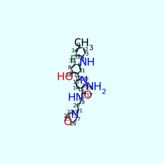 Cc1ccc(Nc2ccc(O)c(-c3ccc(C(=O)NCCCN4CCOCC4)c(N)n3)c2)c(F)c1